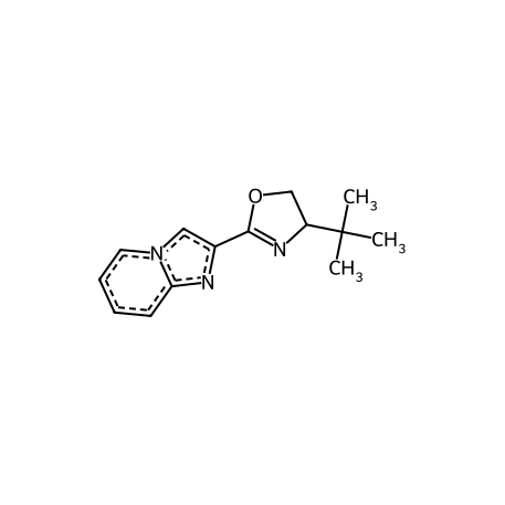 CC(C)(C)C1COC(c2cn3ccccc3n2)=N1